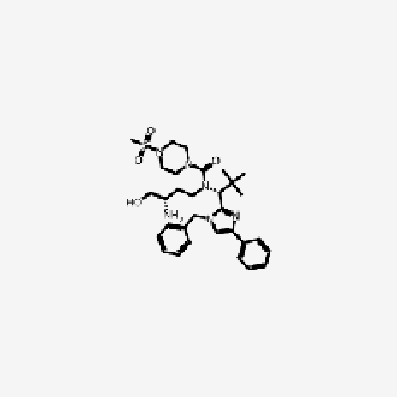 CC(C)(C)[C@H](c1nc(-c2ccccc2)cn1Cc1ccccc1)N(CC[C@H](N)CO)C(=O)N1CCN(S(C)(=O)=O)CC1